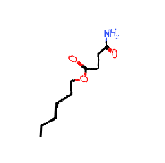 CCCCCCOC(=O)CCC(N)=O